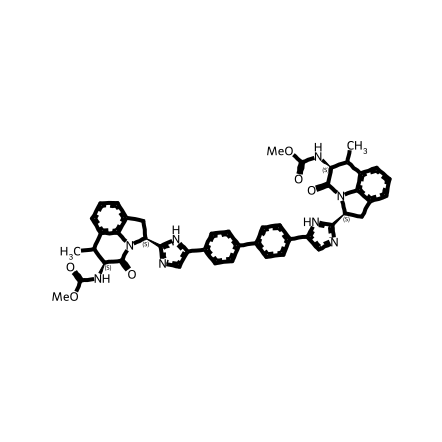 COC(=O)N[C@@H]1C(=O)N2c3c(cccc3C1C)C[C@H]2c1ncc(-c2ccc(-c3ccc(-c4cnc([C@@H]5Cc6cccc7c6N5C(=O)[C@@H](NC(=O)OC)C7C)[nH]4)cc3)cc2)[nH]1